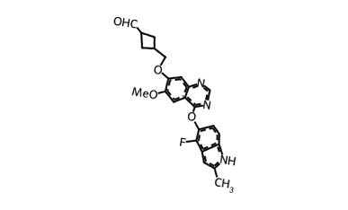 COc1cc2c(Oc3ccc4[nH]c(C)cc4c3F)ncnc2cc1OCC1CC(C=O)C1